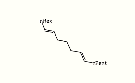 CCCCCC=CCCCC=CCCCCCC